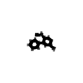 CNc1ccc(Br)cc1-c1ccccc1